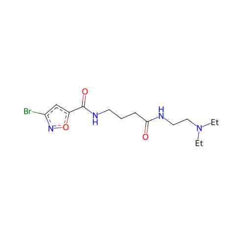 CCN(CC)CCNC(=O)CCCNC(=O)c1cc(Br)no1